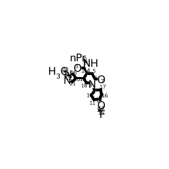 CCCNC(=O)c1cc(=O)n(-c2ccc(OCF)cc2)cc1-c1cnn(C)c1